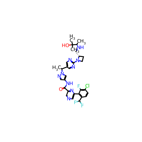 CC(c1cnc(N2CC[C@H]2CNC(C)C(C)(C)O)nc1)n1cc(NC(=O)c2cncc(-c3c(C(F)F)ccc(Cl)c3F)n2)cn1